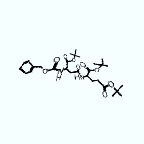 CC(C)(C)OC(=O)CCC(NC(=O)CC(NC(=O)OCc1ccccc1)C(=O)OC(C)(C)C)C(=O)OC(C)(C)C